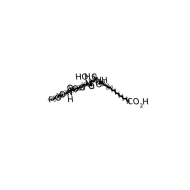 O=C(O)CCCCCCCCCCCCCCC(=O)NC(CCC(=O)NCCOCCOCC(=O)NCCOCCOCCF)C(=O)O